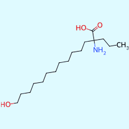 CCCC(N)(CCCCCCCCCCCCO)C(=O)O